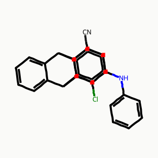 N#Cc1cc(Nc2ccccc2)c(Cl)c2c1C1c3ccccc3C2c2ccccc21